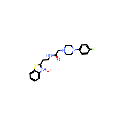 O=C(CN1CCN(c2ccc(F)cc2)CC1)NCCc1sc2ccccc2[n+]1[O-]